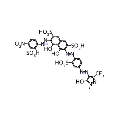 Cn1nc(C(F)(F)F)c(/N=N/c2ccc(/N=N/c3c(S(=O)(=O)O)cc4cc(S(=O)(=O)O)c(/N=N/c5ccc([N+](=O)[O-])cc5S(=O)(=O)O)c(O)c4c3O)c(S(=O)(=O)O)c2)c1O